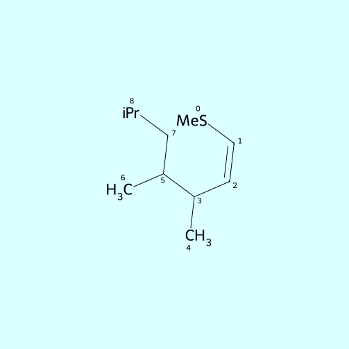 CS/C=C\C(C)C(C)CC(C)C